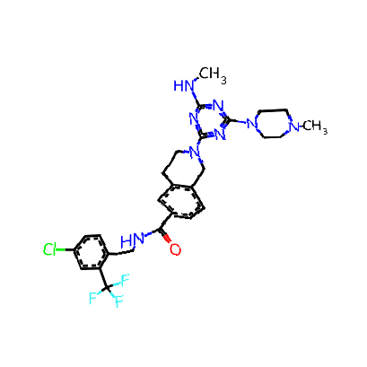 CNc1nc(N2CCN(C)CC2)nc(N2CCc3cc(C(=O)NCc4ccc(Cl)cc4C(F)(F)F)ccc3C2)n1